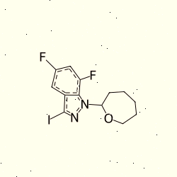 Fc1cc(F)c2c(c1)c(I)nn2C1CCCCCO1